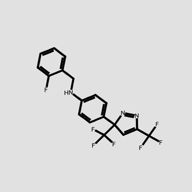 Fc1ccccc1CNc1ccc(C2(C(F)(F)F)C=C(C(F)(F)F)N=N2)cc1